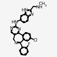 CNCc1nc2ccc(Nc3ncc4c(n3)-c3ccc(Cl)cc3C(c3ccccc3F)=NC4)cc2[nH]1